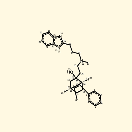 CC1=C(c2ccccc2)[C@@H]2CC[C@H]1C[C@]2(O)CCN(C)CCCc1nc2ccccc2[nH]1